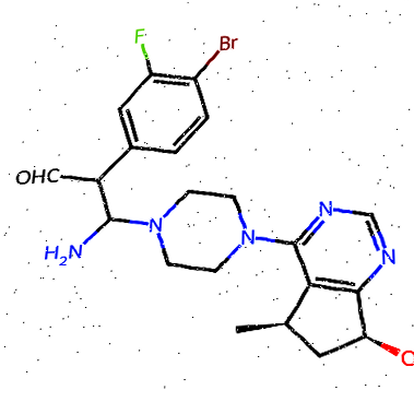 C[C@@H]1C[C@H](O)c2ncnc(N3CCN(C(N)C(C=O)c4ccc(Br)c(F)c4)CC3)c21